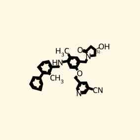 Cc1cc(CN2C[C@@H](O)CC2=O)c(OCc2cncc(C#N)c2)cc1NCc1cccc(-c2ccccc2)c1C